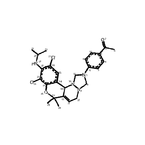 CC(=O)c1ccc(N2CN3CC=C4C(c5cc(Cl)c(NC(C)C)c(Cl)c5OC4(C)C)N3C2)cc1